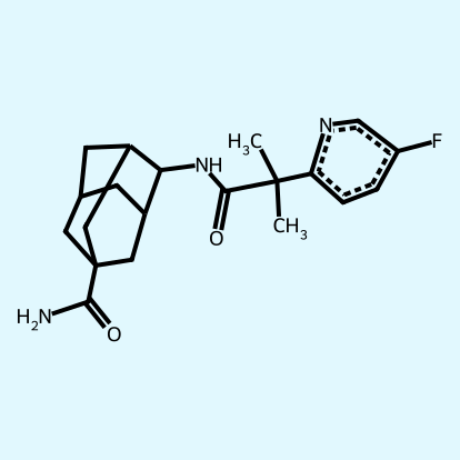 CC(C)(C(=O)NC1C2CC3CC1CC(C(N)=O)(C3)C2)c1ccc(F)cn1